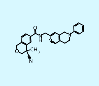 CC1(C#N)COCc2ccc(C(=O)NCc3cc4c(cn3)CCN(c3ccccc3)C4)cc21